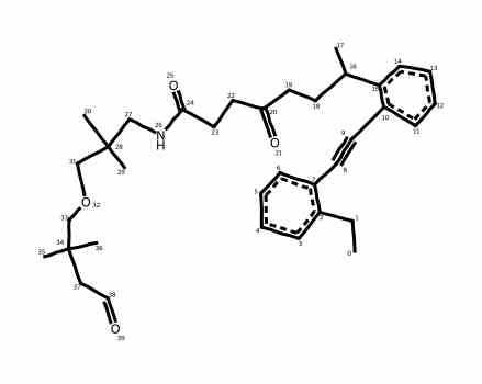 CCc1ccccc1C#Cc1ccccc1C(C)CCC(=O)CCC(=O)NCC(C)(C)COCC(C)(C)CC=O